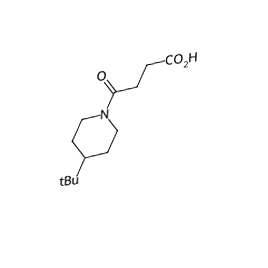 CC(C)(C)C1CCN(C(=O)CCC(=O)O)CC1